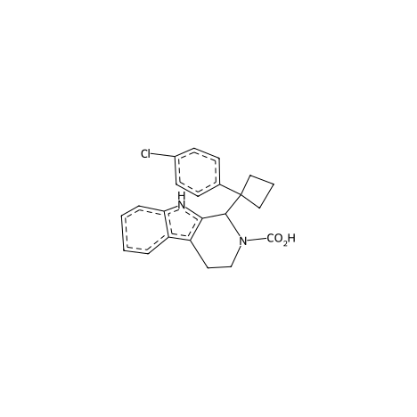 O=C(O)N1CCc2c([nH]c3ccccc23)C1C1(c2ccc(Cl)cc2)CCC1